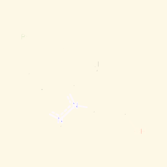 CC1(O)CC(n2ncc3cc(Br)cc(C(F)(F)F)c32)C1